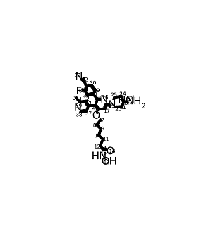 Cc1cc(-c2c(OCCCCCCC(=O)NO)cc(N3CCC(N)CC3)nc2-c2ccc(C#N)c(F)c2)ccn1.Cl